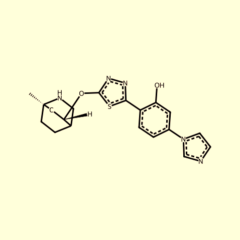 C[C@]12CCC(CN1)[C@@H](Oc1nnc(-c3ccc(-n4ccnc4)cc3O)s1)C2